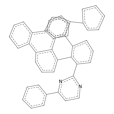 c1ccc(-c2ccnc(-c3cccc(-c4ccccc4-c4ccccc4)c3-c3cccc4c5ccccc5c5ccccc5c34)n2)cc1